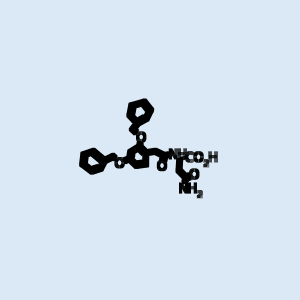 NC(=O)C[C@H](NC(=O)Cc1ccc(OCc2ccccc2)cc1OCc1ccccc1)C(=O)O